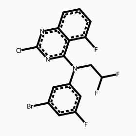 Fc1cc(Br)cc(N(CC(F)F)c2nc(Cl)nc3cccc(F)c23)c1